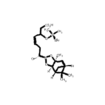 CC1(C)[C@@H]2C[C@H]1[C@H]1OB([C@H](Cl)C/C=C\C(CC(=O)O)O[Si](C)(C)C(C)(C)C)O[C@@]1(C)C2